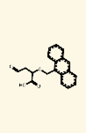 O=CCC(OCc1c2ccccc2cc2ccccc12)C(=O)O